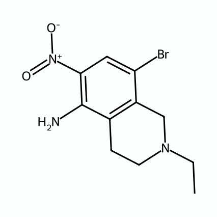 CCN1CCc2c(N)c([N+](=O)[O-])cc(Br)c2C1